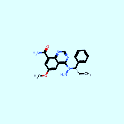 CC[C@@H](c1ccccc1)N(N)c1ncnc2c(C(N)=O)cc(OC)cc12